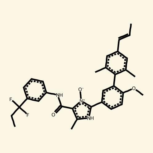 CC=Cc1cc(C)c(-c2cc(-c3[nH]c(C)c(C(=O)Nc4cccc(C(F)(F)CC)c4)[n+]3[O-])ccc2OC)c(C)c1